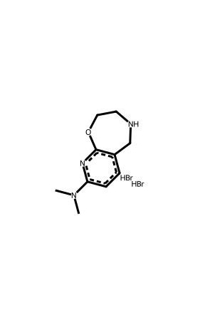 Br.Br.CN(C)c1ccc2c(n1)OCCNC2